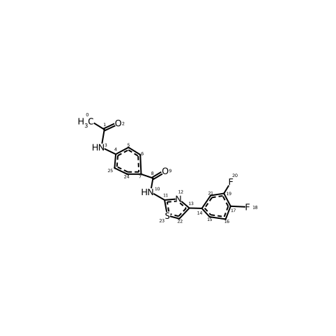 CC(=O)Nc1ccc(C(=O)Nc2nc(-c3ccc(F)c(F)c3)cs2)cc1